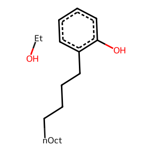 CCCCCCCCCCCCc1ccccc1O.CCO